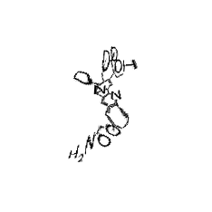 CCC1(O)C(=O)OCc2c1cc1n(c2=O)Cc2cc3cc(OCC(N)=O)ccc3nc2-1